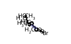 C=C1CC[C@H](OCOCBr)C/C1=C/C=C1\CCC[C@@]2(C)C1CC[C@@H]2[C@H](C)CCCC(C)(C)O